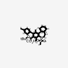 Cc1ccc(-c2c(C)c3c(c(C)c2[C@H](OC(C)(C)C)C(=O)O)N(S(C)(=O)=O)CCc2ccccc2-3)cc1